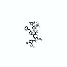 C[C@@H]1Cc2c(n3ncc(Cc4ccccc4)c3n(-c3cc(-c4nncn4C)n(C)n3)c2=O)CN1C(=O)c1ccc(Br)c(C(F)(F)F)c1